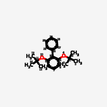 CC(C)(C)Oc1cccc(OC(C)(C)C)c1-c1[c]cccc1